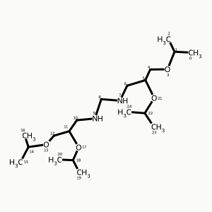 CC(C)OCC(CNCNCC(COC(C)C)OC(C)C)OC(C)C